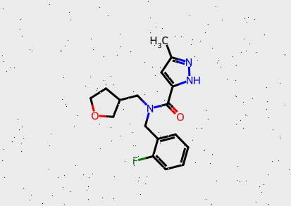 Cc1cc(C(=O)N(Cc2ccccc2F)CC2CCOC2)[nH]n1